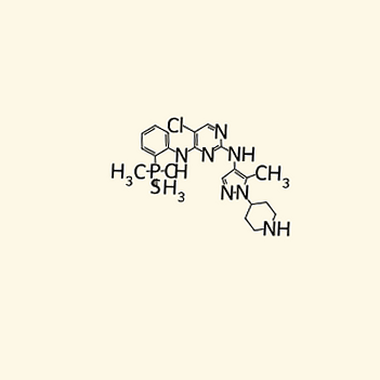 Cc1c(Nc2ncc(Cl)c(Nc3ccccc3P(C)(C)=S)n2)cnn1C1CCNCC1